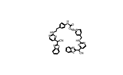 CC(C)(C)OC(=O)Nc1ccc(CCNc2nccc(C(C#N)c3nc4ccccc4s3)n2)cc1.N#CC(c1ccnc(NCc2ccncc2)n1)c1nc2ccccc2s1